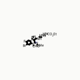 CCOC(=O)NSNCCNc1nonc1/C(=N/OC)N(C=O)c1ccc(F)c(Br)c1